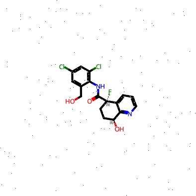 O=C(Nc1c(Cl)cc(Cl)cc1CO)[C@]1(F)CC[C@H](O)c2ncccc21